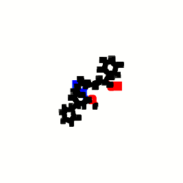 COc1cc(-c2ccccc2)cc2ncc(C#C[C@H](O)c3ccccc3)n12